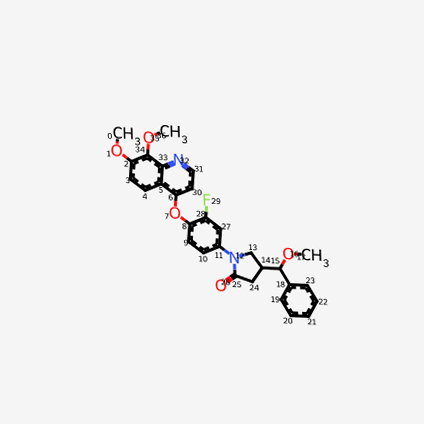 COc1ccc2c(Oc3ccc(N4CC(C(OC)c5ccccc5)CC4=O)cc3F)ccnc2c1OC